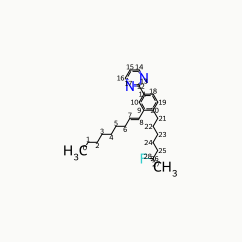 CCCCCCCC=Cc1cc(-c2ncccn2)ccc1CCCCCC(C)F